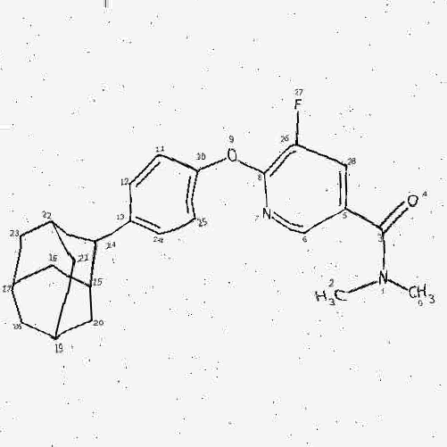 CN(C)C(=O)c1cnc(Oc2ccc(C3C4CC5CC(C4)CC3C5)cc2)c(F)c1